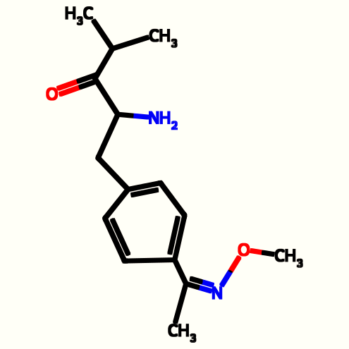 CO/N=C(/C)c1ccc(CC(N)C(=O)C(C)C)cc1